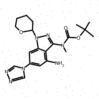 CN(C(=O)OC(C)(C)C)c1nn(C2CCCCO2)c2cc(-n3cnnc3)cc(N)c12